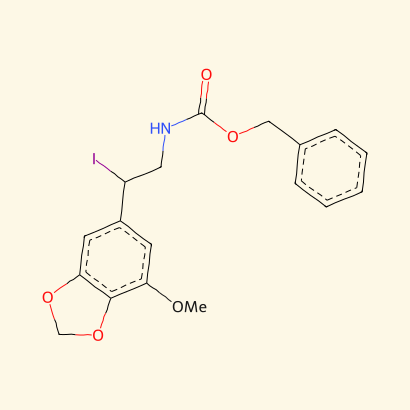 COc1cc(C(I)CNC(=O)OCc2ccccc2)cc2c1OCO2